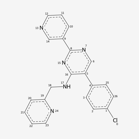 Clc1ccc(-c2cnc(-c3cccnc3)nc2NCc2ccccn2)cc1